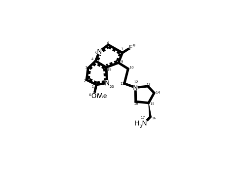 COc1ccc2ncc(F)c(CCN3CC[C@@H](CN)C3)c2n1